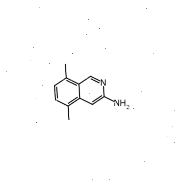 Cc1ccc(C)c2cc(N)ncc12